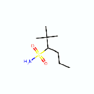 CCCC(C(C)(C)C)S(N)(=O)=O